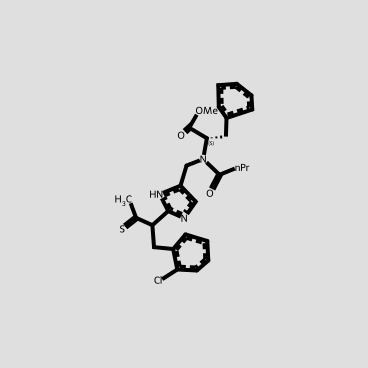 CCCC(=O)N(Cc1cnc(C(Cc2ccccc2Cl)C(C)=S)[nH]1)[C@@H](Cc1ccccc1)C(=O)OC